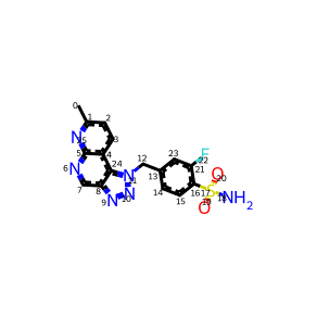 Cc1ccc2c(ncc3nnn(Cc4ccc(S(N)(=O)=O)c(F)c4)c32)n1